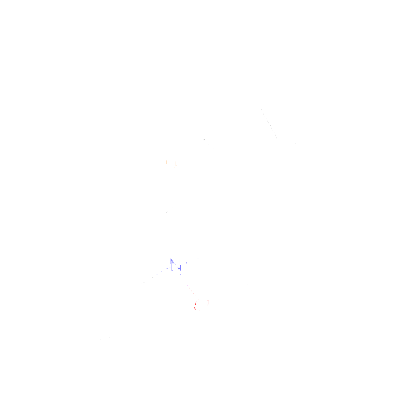 CCCC(C)C(C)(C)PCC(=O)[N+]([O-])(CC(C)C)CC(C)C